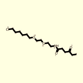 CCC(=O)CCC(=O)NCCOCCOCCCCCCCl